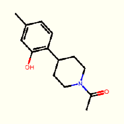 CC(=O)N1CCC(c2ccc(C)cc2O)CC1